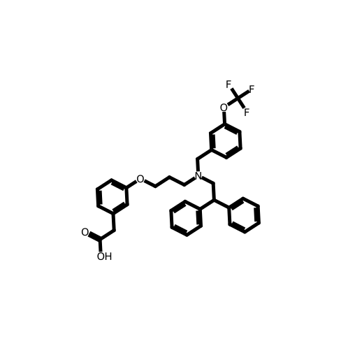 O=C(O)Cc1cccc(OCCCN(Cc2cccc(OC(F)(F)F)c2)CC(c2ccccc2)c2ccccc2)c1